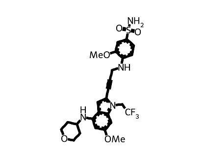 COc1cc(NC2CCOCC2)c2cc(C#CCNc3ccc(S(N)(=O)=O)cc3OC)n(CC(F)(F)F)c2c1